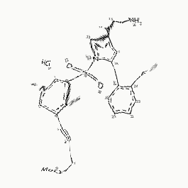 COCC#Cc1cncc(S(=O)(=O)n2cc(CN)cc2-c2ccccc2F)c1.Cl